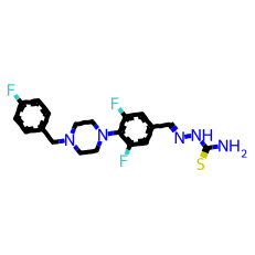 NC(=S)N/N=C/c1cc(F)c(N2CCN(Cc3ccc(F)cc3)CC2)c(F)c1